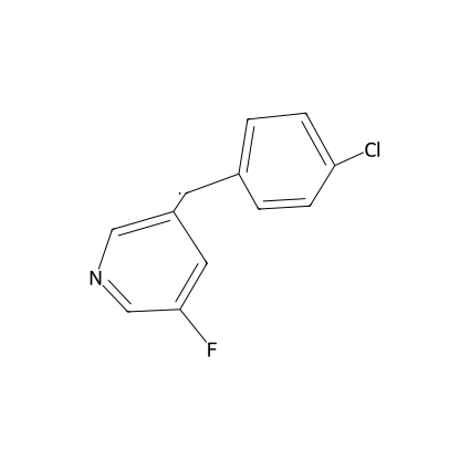 Fc1cncc([CH]c2ccc(Cl)cc2)c1